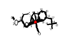 CO[C@H]1CC[C@]2(CC1)Cc1ccc(CC(C)(C)C)cc1C21NC(=O)NC1=O